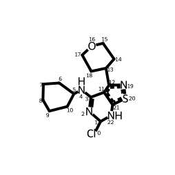 ClC1N=C(NC2CCCCC2)c2c(C3CCOCC3)nsc2N1